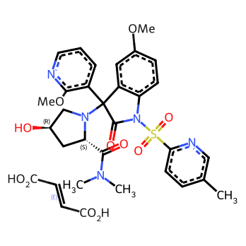 COc1ccc2c(c1)C(c1cccnc1OC)(N1C[C@H](O)C[C@H]1C(=O)N(C)C)C(=O)N2S(=O)(=O)c1ccc(C)cn1.O=C(O)/C=C/C(=O)O